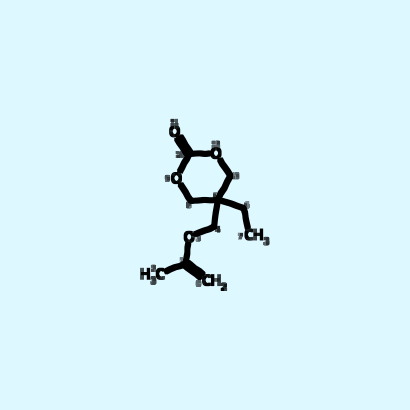 C=C(C)OCC1(CC)COC(=O)OC1